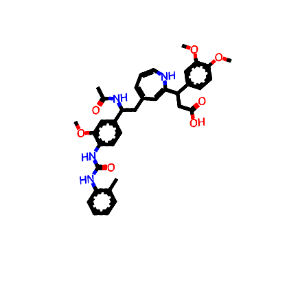 COc1cc(C(CC2=CC=CNC(C(CC(=O)O)c3ccc(OC)c(OC)c3)=C2)NC(C)=O)ccc1NC(=O)Nc1ccccc1C